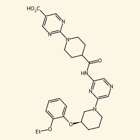 CCOc1ccccc1O[C@@H]1CCCN(c2cncc(NC(=O)C3CCN(c4ncc(C(=O)O)cn4)CC3)n2)C1